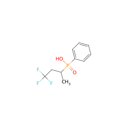 CC(CC(F)(F)F)P(=O)(O)c1ccccc1